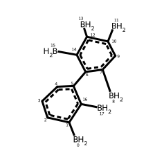 Bc1cccc(-c2c(B)cc(B)c(B)c2B)c1B